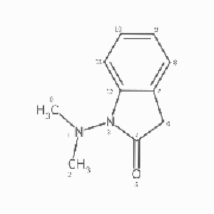 CN(C)N1C(=O)Cc2ccccc21